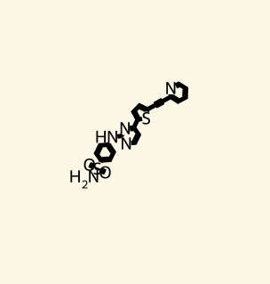 NS(=O)(=O)c1ccc(Nc2nccc(-c3ccc(C#Cc4ccccn4)s3)n2)cc1